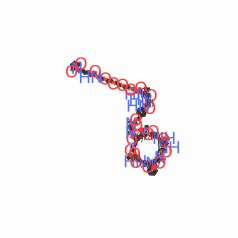 C/C=C(\C)[C@H]1OC(=O)[C@@H](C)NC(=O)[C@H](C(C)CC)NC(=O)CN(C)C(=O)[C@@H](Cc2ccccc2)N(C)C(=O)[C@H](C)NC(=O)[C@@H](CC(C)C)OC(=O)/C(C)=C/C[C@H](OC(=O)N(C)CCN(C)C(=O)OCc2ccc(NC(=O)[C@@H](C)NC(=O)[C@H](NC(=O)CCOCCOCCOCCOCCNC(=O)CCCCCN3C(=O)C=CC3=O)C(C)C)cc2)[C@@H]1C